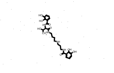 CC(O)C(NC(=O)c1cccc(O)c1O)C(=O)NCCCCNCCCNC(=O)c1cccc(O)c1O